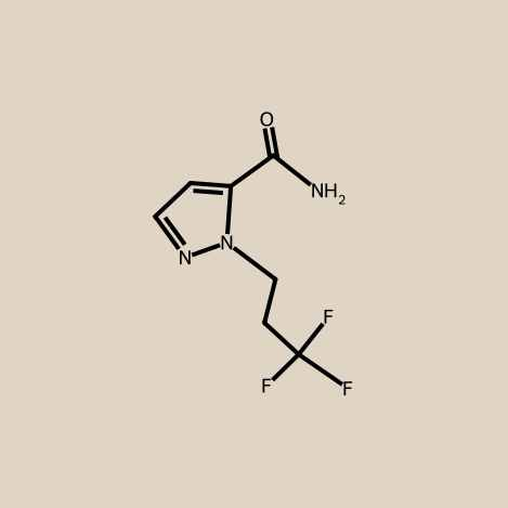 NC(=O)c1ccnn1CCC(F)(F)F